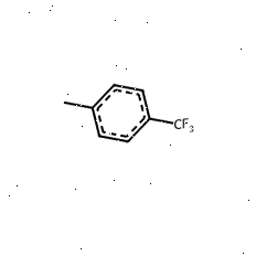 Cc1ccc(C(F)(F)[18F])cc1